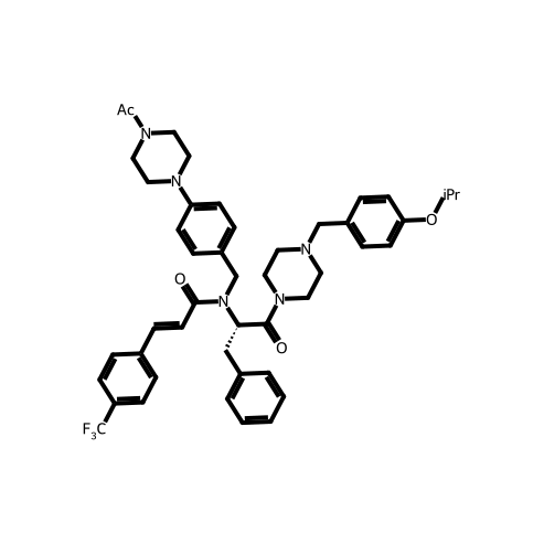 CC(=O)N1CCN(c2ccc(CN(C(=O)C=Cc3ccc(C(F)(F)F)cc3)[C@@H](Cc3ccccc3)C(=O)N3CCN(Cc4ccc(OC(C)C)cc4)CC3)cc2)CC1